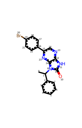 CC(c1ccccc1)n1c(=O)[nH]c2ncc(-c3ccc(Br)cc3)nc21